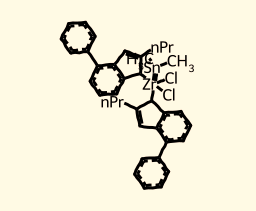 CCCC1=Cc2c(-c3ccccc3)cccc2[CH]1[Zr]([Cl])([Cl])([CH]1C(CCC)=Cc2c(-c3ccccc3)cccc21)=[Sn]([CH3])[CH3]